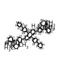 CC1(C)CCCC2(C)c3cc(-c4ccc5c(-c6ccc(-c7ccccc7)cc6)c6cc(-c7ccc8c(c7)C7(C)CCCC(C)(C)C7(C)N8c7ccccc7)ccc6c(-c6ccc(-c7ccccc7)cc6)c5c4)ccc3N(c3ccccc3)C12C